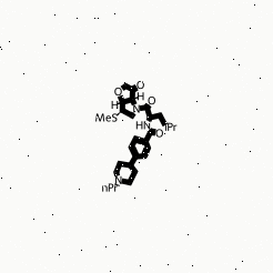 CCCN1CCC(c2ccc(C(=O)NC(CC(C)C)C(=O)N3C[C@H](SC)[C@H]4OCC(=O)[C@H]43)cc2)CC1